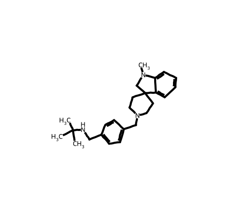 CN1CC2(CCN(Cc3ccc(CNC(C)(C)C)cc3)CC2)c2ccccc21